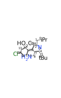 CC(C)Cc1nc(CC(C)(C)C)c(CN)c(-c2ccc(Cl)cc2)c1C(=O)O